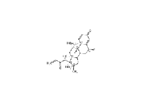 C=CC(=O)O[C@]1(C(=O)O)[C@H](C)CC2C3C[C@H](F)C4=CC(=O)C=C[C@]4(C)[C@@]3(F)[C@@H](O)C[C@@]21C